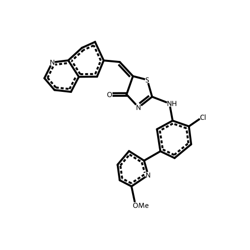 COc1cccc(-c2ccc(Cl)c(NC3=NC(=O)C(=Cc4ccc5ncccc5c4)S3)c2)n1